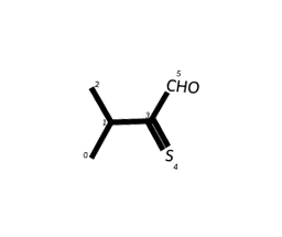 CC(C)C(=S)C=O